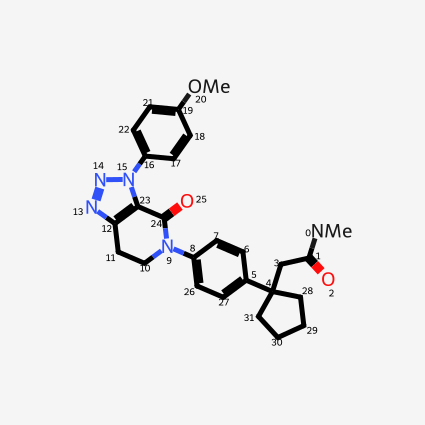 CNC(=O)CC1(c2ccc(N3CCc4nnn(-c5ccc(OC)cc5)c4C3=O)cc2)CCCC1